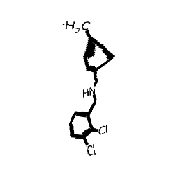 [CH2]c1ccc(CNCc2cccc(Cl)c2Cl)cc1